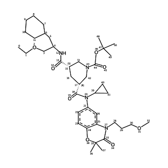 CCOCC(CC1CCCCC1)NC(=O)[C@H]1C[C@@H](C(=O)N(c2ccc3c(c2)N(CCCOC)C(=O)C(C)(C)O3)C2CC2)CN(C(=O)OC(C)(C)C)C1